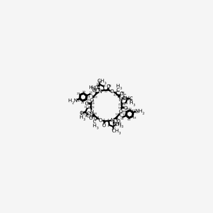 CC(C)CC1C(=O)O[C@H](C)C(=O)N(C)[C@@H](CC(C)C)C(=O)O[C@H](Cc2ccc(N)cc2)C(=O)N(C)[C@@H](CC(C)C)C(=O)O[C@H](C)C(=O)N(C)[C@@H](CC(C)C)C(=O)O[C@H](Cc2ccc(N)cc2)C(=O)N1C